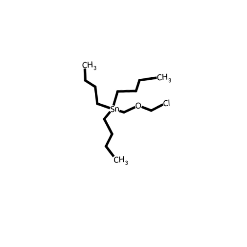 CCC[CH2][Sn]([CH2]CCC)([CH2]CCC)[CH2]OCCl